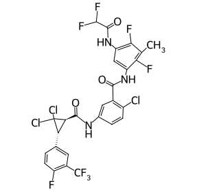 Cc1c(F)c(NC(=O)c2cc(NC(=O)[C@H]3[C@H](c4ccc(F)c(C(F)(F)F)c4)C3(Cl)Cl)ccc2Cl)cc(NC(=O)C(F)F)c1F